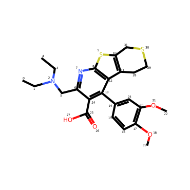 CCN(CC)Cc1nc2sc3c(c2c(-c2ccc(OC)c(OC)c2)c1C(=O)O)CCSC3